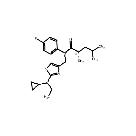 CCN(c1nc(CN(C(=O)[C@@H](N)CC(C)C)c2ccc(F)cc2)cs1)C1CC1